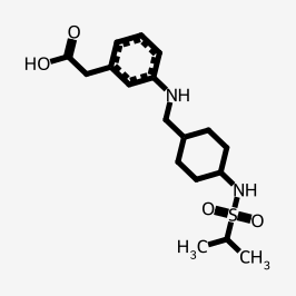 CC(C)S(=O)(=O)NC1CCC(CNc2cccc(CC(=O)O)c2)CC1